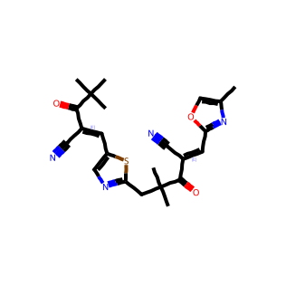 Cc1coc(/C=C(\C#N)C(=O)C(C)(C)Cc2ncc(/C=C(\C#N)C(=O)C(C)(C)C)s2)n1